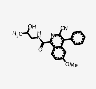 COc1ccc2c(C(=O)NCC(C)O)nc(C#N)c(-c3ccccc3)c2c1